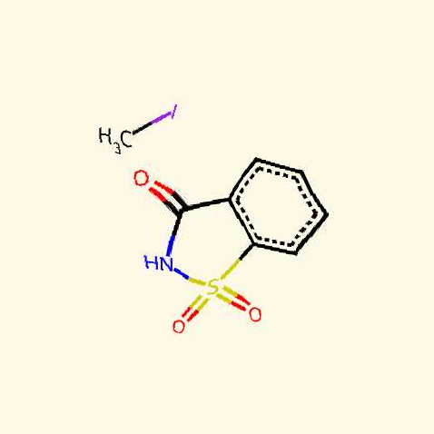 CI.O=C1NS(=O)(=O)c2ccccc21